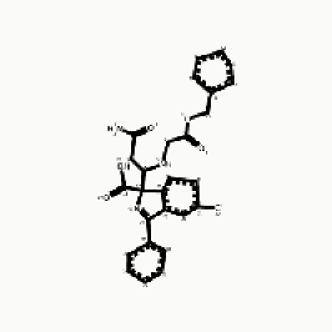 NC(=O)CC(NCC(=O)OCc1ccccc1)C1(C(=O)O)N=C(c2ccccc2)c2cc(Cl)ccc21